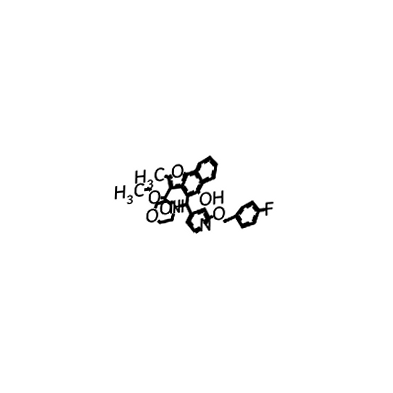 CCOC(O)c1c(C)oc2c1c(C(c1ccnc(OCc3ccc(F)cc3)c1)N1CCOCC1)c(O)c1ccccc12